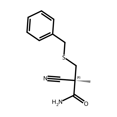 C[C@](C#N)(CSCc1ccccc1)C(N)=O